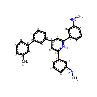 CNc1cccc(-c2cc(-c3cccc(-c4cccc(C)c4)c3)cc(-c3cccc(NC)c3)n2)c1